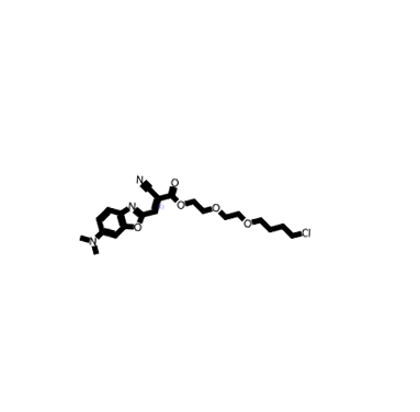 CN(C)c1ccc2nc(/C=C(\C#N)C(=O)OCCOCCOCCCCCl)oc2c1